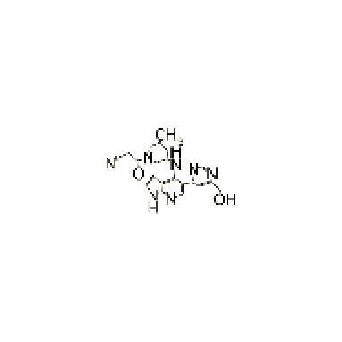 C[C@H]1C[C@@H](Nc2c(-c3cc(CO)ncn3)cnc3[nH]ccc23)CN(C(=O)CC#N)C1